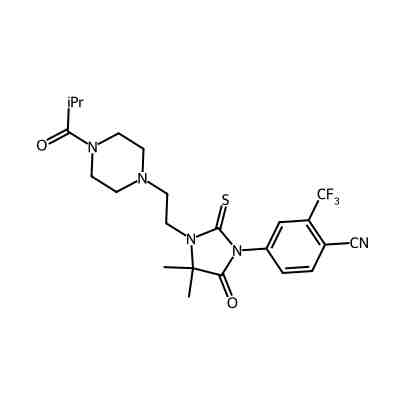 CC(C)C(=O)N1CCN(CCN2C(=S)N(c3ccc(C#N)c(C(F)(F)F)c3)C(=O)C2(C)C)CC1